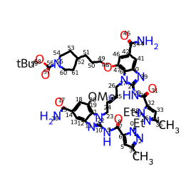 CCn1nc(C)cc1C(=O)Nc1nc2cc(C(N)=O)cc(OC)c2n1C/C=C/Cn1c(NC(=O)c2cc(C)nn2CC)nc2cc(C(N)=O)cc(OCCCC3CCN(C(=O)OC(C)(C)C)CC3)c21